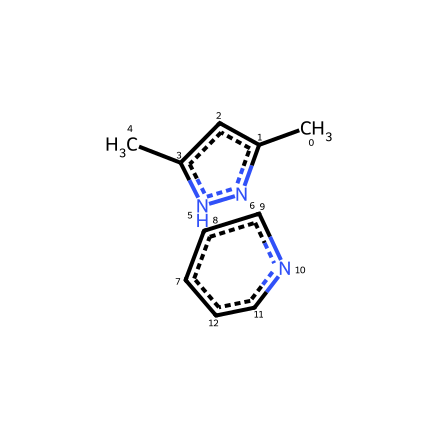 Cc1cc(C)[nH]n1.c1ccncc1